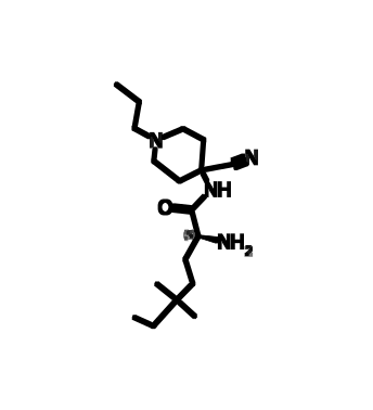 CCCN1CCC(C#N)(NC(=O)[C@@H](N)CCC(C)(C)CC)CC1